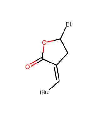 CCC(C)C=C1CC(CC)OC1=O